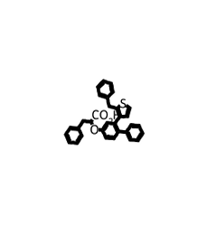 O=C(O)C(Cc1ccccc1)Oc1ccc(-c2ccccc2)c(-c2ccsc2Cc2ccccc2)c1